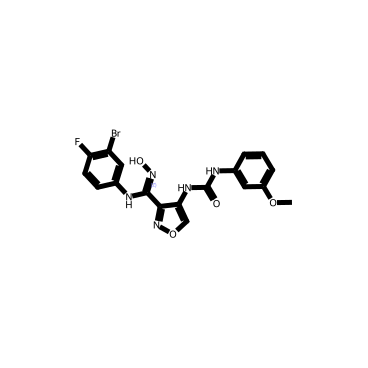 COc1cccc(NC(=O)Nc2conc2/C(=N/O)Nc2ccc(F)c(Br)c2)c1